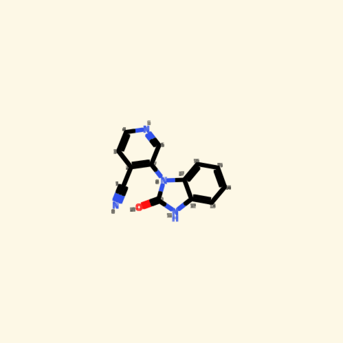 N#Cc1ccncc1-n1c(=O)[nH]c2ccccc21